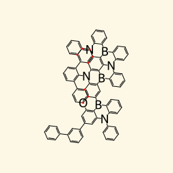 c1ccc(-c2cccc(-c3cc4c5c(c3)N(c3ccccc3)c3ccccc3B5c3cc5c(cc3O4)N(c3c(-c4ccccc4)cccc3-c3ccccc3)c3cc4c6c7c3B5c3ccccc3N7c3ccccc3B6c3ccccc3N4c3ccccc3)c2)cc1